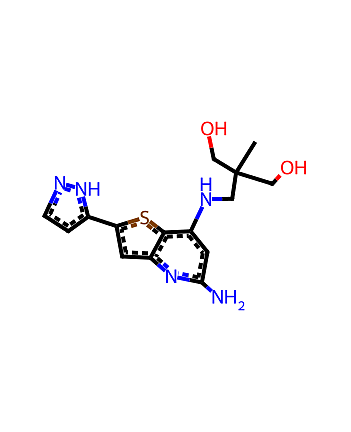 CC(CO)(CO)CNc1cc(N)nc2cc(-c3ccn[nH]3)sc12